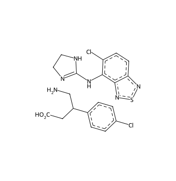 Clc1ccc2nsnc2c1NC1=NCCN1.NCC(CC(=O)O)c1ccc(Cl)cc1